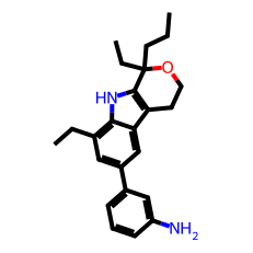 CCCC1(CC)OCCc2c1[nH]c1c(CC)cc(-c3cccc(N)c3)cc21